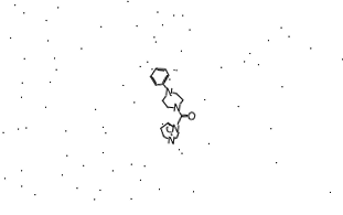 O=C(N1CCN(c2ccccc2)CC1)N1CCN2CCC1CC2